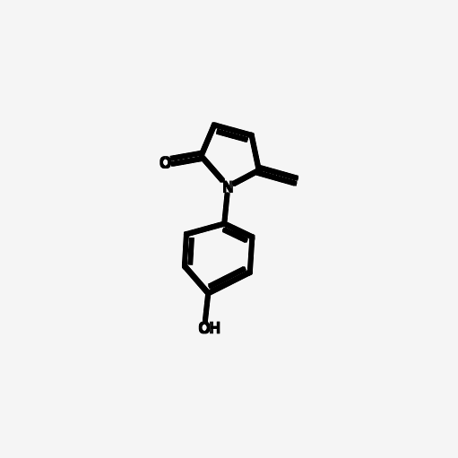 C=C1C=CC(=O)N1c1ccc(O)cc1